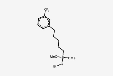 CCO[Si](CCCCCc1cccc(C(F)(F)F)c1)(OC)OC